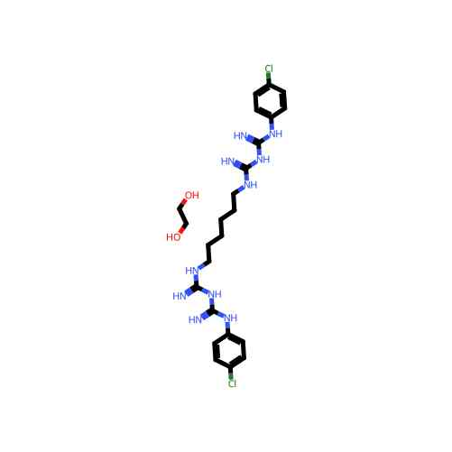 N=C(NCCCCCCNC(=N)NC(=N)Nc1ccc(Cl)cc1)NC(=N)Nc1ccc(Cl)cc1.OCCO